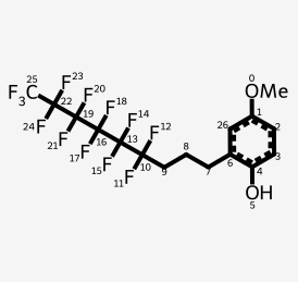 COc1ccc(O)c(CCCC(F)(F)C(F)(F)C(F)(F)C(F)(F)C(F)(F)C(F)(F)F)c1